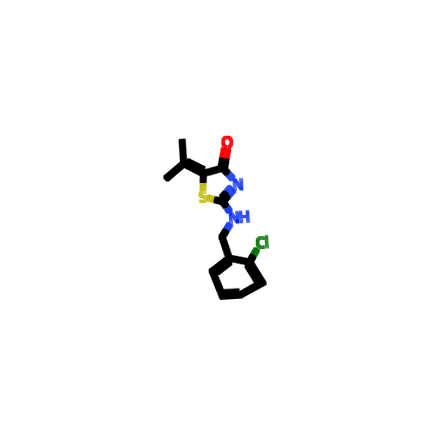 CC(C)=C1SC(NCc2ccccc2Cl)=NC1=O